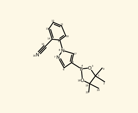 CC1(C)OB(c2cnn(-c3ccccc3C#N)c2)OC1(C)C